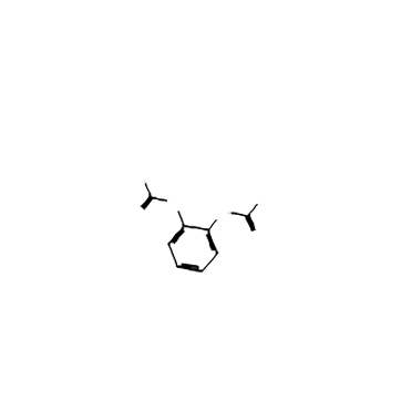 CC(C)(C)C(=O)Oc1c[c]ccc1OC(=O)C(C)(C)C